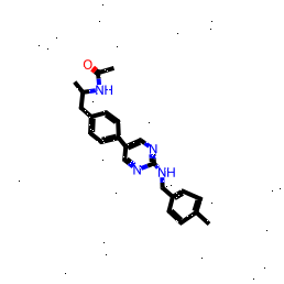 CC(=O)NC(C)Cc1ccc(-c2cnc(NCc3ccc(C)cc3)nc2)cc1